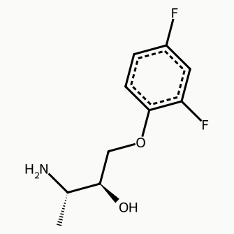 C[C@H](N)[C@H](O)COc1ccc(F)cc1F